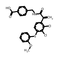 C=C(C(=O)NCc1ccc(C(=O)O)cc1)c1ccc(Sc2ccccc2OC)c(Cl)c1Cl